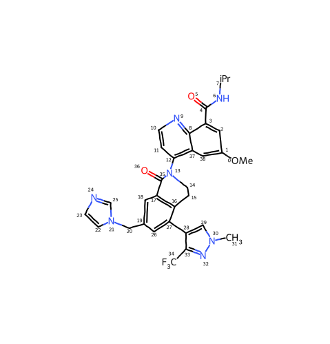 COc1cc(C(=O)NC(C)C)c2nccc(N3CCc4c(cc(Cn5ccnc5)cc4-c4cn(C)nc4C(F)(F)F)C3=O)c2c1